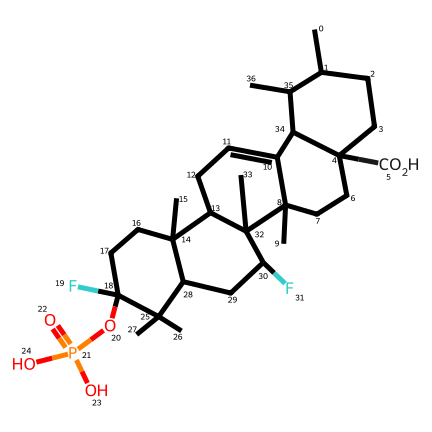 CC1CCC2(C(=O)O)CCC3(C)C(=CCC4C5(C)CCC(F)(OP(=O)(O)O)C(C)(C)C5CC(F)C43C)C2C1C